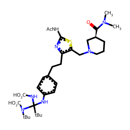 CC(=O)Nc1nc(CCc2ccc(NC(NC(=O)O)(N(C(=O)O)C(C)(C)C)C(C)(C)C)cc2)c(CN2CCC[C@H](C(=O)N(C)C)C2)s1